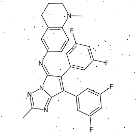 Cc1nc2n(n1)/C(=N/c1ccc3c(c1)CCCN3C)C(c1cc(F)cc(F)c1)=C2c1cc(F)cc(F)c1